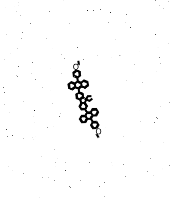 CCOc1ccc(-c2c3ccccc3c(-c3ccc4c(c3)C(CC)(CC)c3cc(-c5c6ccccc6c(-c6ccc(OCC)cc6)c6ccccc56)ccc3-4)c3ccccc23)cc1